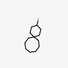 IC1CCC2(CCCCCCC2)CC1